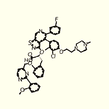 COc1ccccc1-c1nccc(COc2ccccc2C[C@@H](Oc2nsc3cnc(-c4cccc(F)c4)c(-c4ccc(OCCN5CCN(C)CC5)c(Cl)c4C)c23)C(=O)O)n1